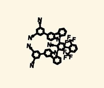 N#Cc1cc(C#N)cc(-c2ccc3c(c2)c2ccccc2n3-c2cc(-c3c(C(F)(F)F)cccc3C(F)(F)F)cc(-n3c4ccccc4c4cc(-c5cc(C#N)cc(C#N)c5)ccc43)c2C#N)c1